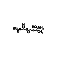 CCC(C)C(=O)OCC(O)COC(=O)CCSCC(C)C(N)O